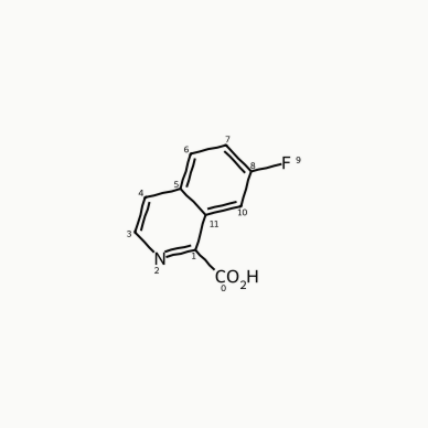 O=C(O)c1nccc2ccc(F)cc12